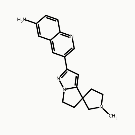 CN1CCC2(CCn3nc(-c4cnc5ccc(N)cc5c4)cc32)C1